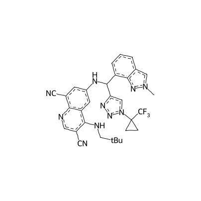 Cn1cc2cccc(C(Nc3cc(C#N)c4ncc(C#N)c(NCC(C)(C)C)c4c3)c3cn(C4(C(F)(F)F)CC4)nn3)c2n1